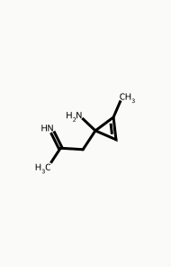 CC(=N)CC1(N)C=C1C